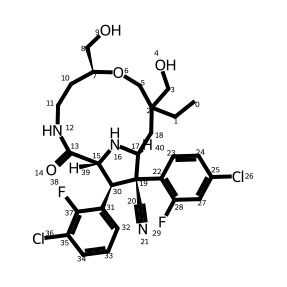 CCC1(CO)CO[C@H](CO)CCNC(=O)[C@@H]2N[C@@H](C1)[C@](C#N)(c1ccc(Cl)cc1F)[C@H]2c1cccc(Cl)c1F